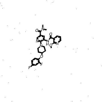 COc1ncccc1C(=O)Nc1cc(C(=O)N(C)C)cnc1N1CCC(Oc2ccc(F)cc2F)CC1